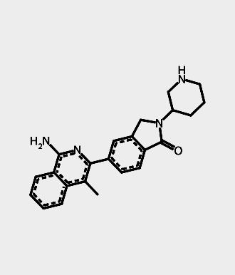 Cc1c(-c2ccc3c(c2)CN(C2CCCNC2)C3=O)nc(N)c2ccccc12